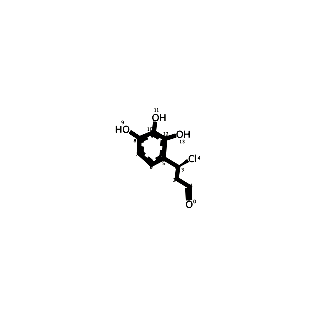 O=CC[C@H](Cl)c1ccc(O)c(O)c1O